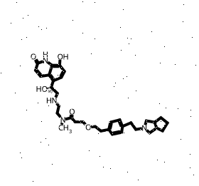 CN(CCNC[C@H](O)c1ccc(O)c2[nH]c(=O)ccc12)C(=O)CCOCCc1ccc(CCN2CC3CCCC3C2)cc1